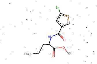 CCC(C)OC(=O)C(CCC(=O)O)NC(=O)c1csc(Br)c1